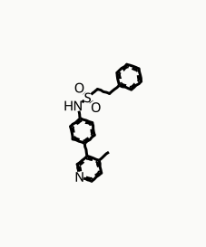 Cc1ccncc1-c1ccc(NS(=O)(=O)CCc2ccccc2)cc1